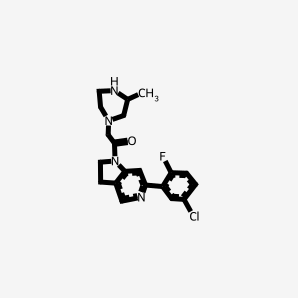 CC1CN(CC(=O)N2CCc3cnc(-c4cc(Cl)ccc4F)cc32)CCN1